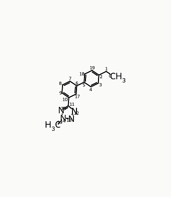 CCc1ccc(-c2cccc(-c3nnn(C)n3)c2)cc1